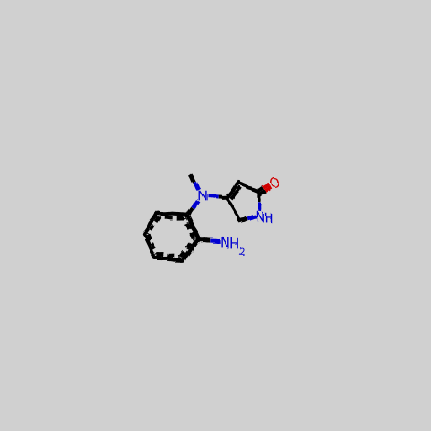 CN(C1=CC(=O)NC1)c1ccccc1N